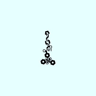 O=C(NCC(=O)N1CCN(CCN2CCCC2)CC1)c1ccc(S(=O)(=O)N(Oc2ccccc2)c2ccccc2)cc1